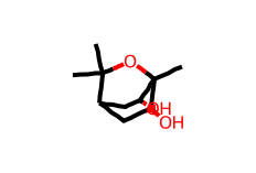 CC1(C)OC2(C)C(O)CC1CC2O